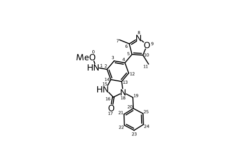 CONc1cc(-c2c(C)noc2C)cc2c1[nH]c(=O)n2Cc1ccccc1